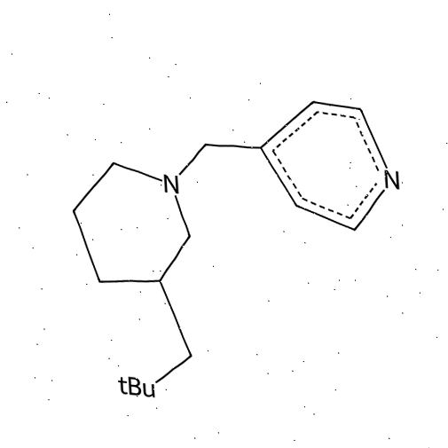 CC(C)(C)CC1CCCN(Cc2ccncc2)C1